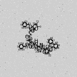 CC1O[C@@H](O[C@H](C)CCC(=O)O[C@H](C)[C@H](NC(=O)Nc2ncnc3c2ncn3[C@@H]2OC[C@@H](C)[C@H](OCc3ccccc3)C2OCc2ccccc2)C(=O)OCc2ccccc2)C(OCc2ccccc2)C[C@H]1C